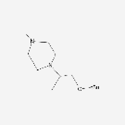 CC(COC(C)(C)C)N1CCN(C)CC1